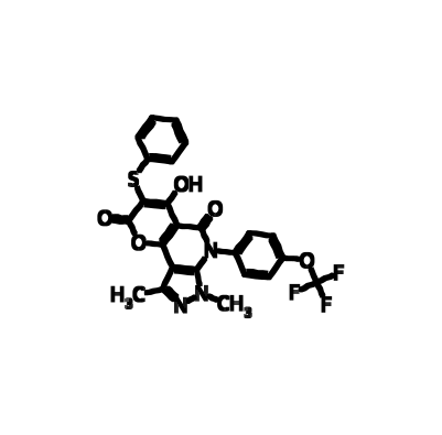 Cc1nn(C)c2c1c1oc(=O)c(Sc3ccccc3)c(O)c1c(=O)n2-c1ccc(OC(F)(F)F)cc1